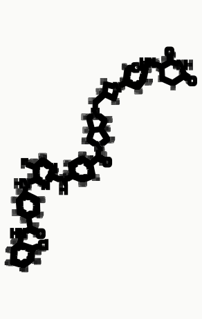 O=C1CCC(Nc2ccc(N3CC(CN4CC5CN(C(=O)c6ccc(Nc7ncc(F)c(Nc8ccc(C(=O)Nc9ccccc9Cl)cc8)n7)cc6)CC5C4)C3)cc2)C(=O)N1